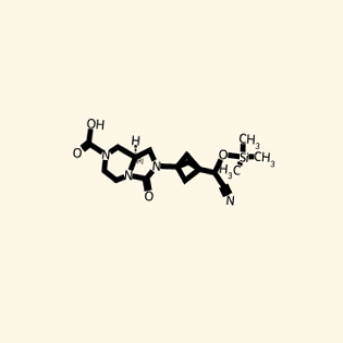 C[Si](C)(C)OC(C#N)C12CC(N3C[C@@H]4CN(C(=O)O)CCN4C3=O)(C1)C2